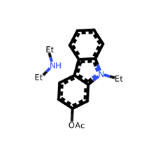 CCNCC.CCn1c2ccccc2c2ccc(OC(C)=O)cc21